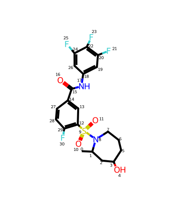 CC1CC(O)CCCN1S(=O)(=O)c1cc(C(=O)Nc2cc(F)c(F)c(F)c2)ccc1F